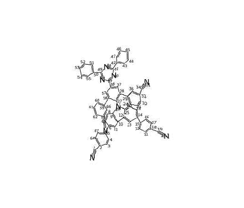 N#Cc1ccc(-c2ccc3c(c2)c2cc(-c4ccc(C#N)cc4)ccc2n3-c2c(-c3cccc(C#N)c3)cc(-c3nc(-c4ccccc4)nc(-c4ccccc4)n3)cc2-c2cccc(C#N)c2)cc1